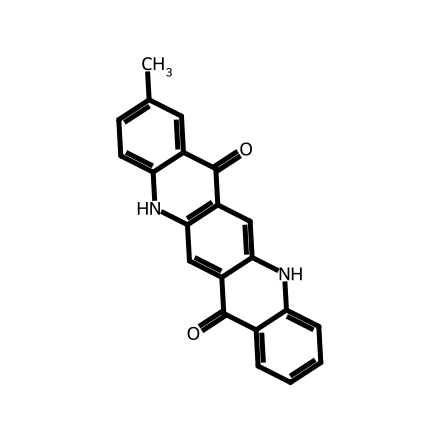 Cc1ccc2[nH]c3cc4c(=O)c5ccccc5[nH]c4cc3c(=O)c2c1